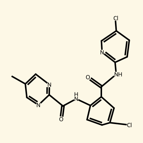 Cc1cnc(C(=O)Nc2ccc(Cl)cc2C(=O)Nc2ccc(Cl)cn2)nc1